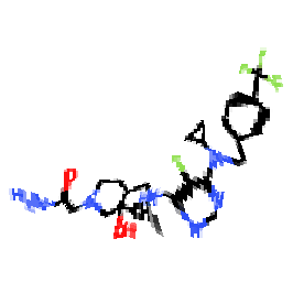 CC1(O)CN(CC(N)=O)CC[C@H]1CNc1ncnc(N(Cc2ccc(C(F)(F)F)cc2)C2CC2)c1F